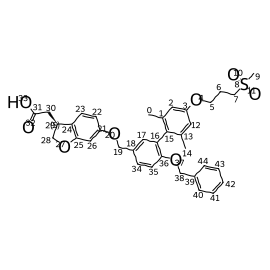 Cc1cc(OCCCS(C)(=O)=O)cc(C)c1-c1cc(COc2ccc3c(c2)OC[C@H]3CC(=O)O)ccc1OCc1ccccc1